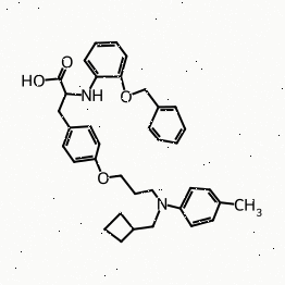 Cc1ccc(N(CCCOc2ccc(CC(Nc3ccccc3OCc3ccccc3)C(=O)O)cc2)CC2CCC2)cc1